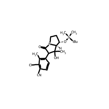 Cc1c(C2C(=O)N3CC[C@H](O[Si](C)(C)C(C)(C)C)[C@H]3C2(C)O)ccc(C#N)c1Cl